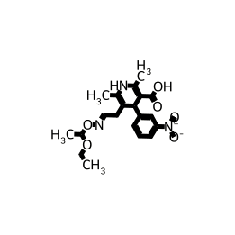 CCOC(C)ON=CCC1=C(C)NC(C)=C(C(=O)O)C1c1cccc([N+](=O)[O-])c1